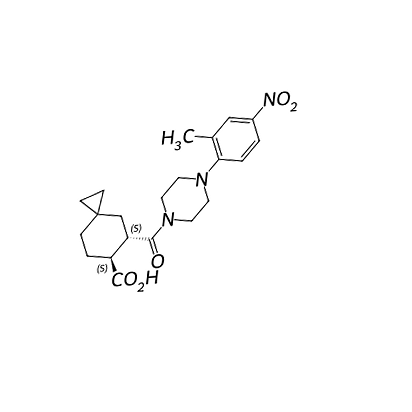 Cc1cc([N+](=O)[O-])ccc1N1CCN(C(=O)[C@H]2CC3(CC[C@@H]2C(=O)O)CC3)CC1